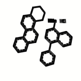 CNc1ccc(-c2ccccc2)c2ccccc12.Cl.c1ccc2c(c1)ccc1c3c(ccc12)CCCC3